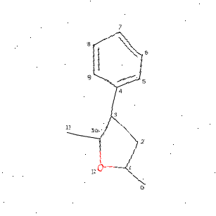 CC1CC(c2ccccc2)C(C)O1